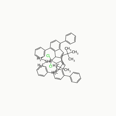 C[SiH](C)[Zr]([Cl])([Cl])([CH]1C(CC(C)(C)C)=Cc2c(-c3ccccc3)ccc(-c3ccccc3)c21)[CH]1C(CC(C)(C)C)=Cc2c(-c3ccccc3)ccc(-c3ccccc3)c21